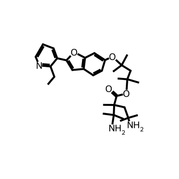 CCc1ncccc1-c1cc2ccc(OC(C)(C)CC(C)(C)OC(=O)C(C)(CC(C)(C)N)C(C)(C)N)cc2o1